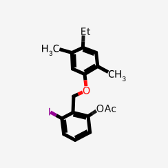 CCc1cc(C)c(OCc2c(I)cccc2OC(C)=O)cc1C